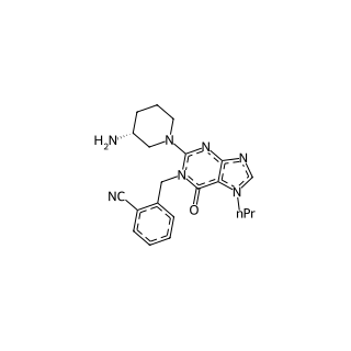 CCCn1cnc2nc(N3CCC[C@@H](N)C3)n(Cc3ccccc3C#N)c(=O)c21